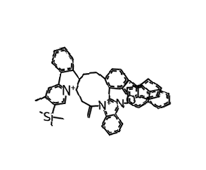 C=C1CC2C(CCc3ccc4c(oc5ccccc54)c3-c3n(-c4ccc5ccccc5c4)c4ccccc4[n+]31)c1ccccc1-c1cc(C)c([Si](C)(C)C)c[n+]12